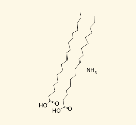 CCCCCCCCC=CCCCCCCCC(=O)O.CCCCCCCCC=CCCCCCCCC(=O)O.N